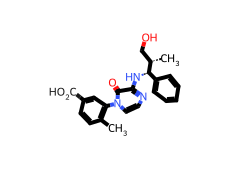 Cc1ccc(C(=O)O)cc1-n1ccnc(N[C@@H](c2ccccc2)[C@@H](C)CO)c1=O